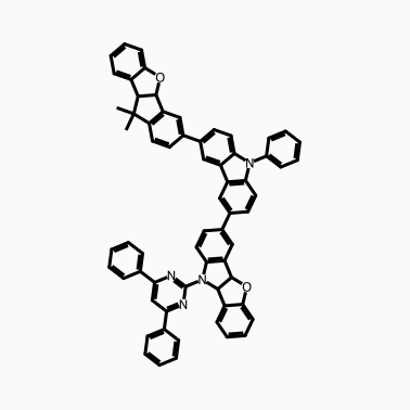 CC1(C)c2ccc(-c3ccc4c(c3)c3cc(-c5ccc6c(c5)C5Oc7ccccc7C5N6c5nc(-c6ccccc6)cc(-c6ccccc6)n5)ccc3n4-c3ccccc3)cc2C2Oc3ccccc3C21